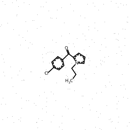 CCCn1cccc1C(=O)c1ccc(Cl)cc1